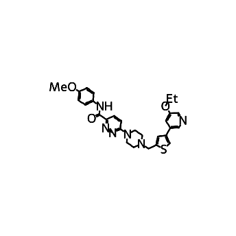 CCOc1cncc(-c2csc(CN3CCN(c4ccc(C(=O)Nc5ccc(OC)cc5)nn4)CC3)c2)c1